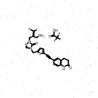 NCC(Cn1ncn(Cc2ccc(C#Cc3ccc4c(c3)CCC(=O)N4)s2)c1=O)=C(F)F.O=C(O)C(F)(F)F